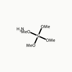 CO[Si](OC)(OC)OC.N